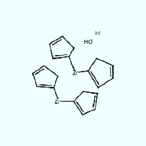 C1=CC[C]([Zr][C]2=CC=CC2)=C1.C1=CC[C]([Zr][C]2=CC=CC2)=C1.Cl.[H-]